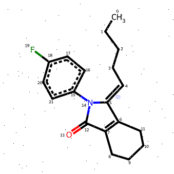 CCCC/C=C1/C2=C(CCCC2)C(=O)N1c1ccc(F)cc1